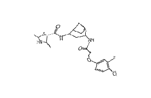 CC1NC(C)C(C(=O)NC2CC(NC(=O)COc3ccc(Cl)c(F)c3)C3CC2C3)S1